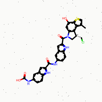 Cc1csc2c(O)cc3c(c12)[C@H](CCl)CN3C(=O)c1cc2cc(NC(=O)c3cc4cc(NC(=O)O)ccc4[nH]3)ccc2[nH]1